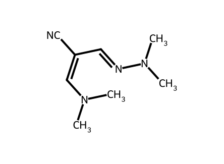 CN(C)C=C(C#N)C=NN(C)C